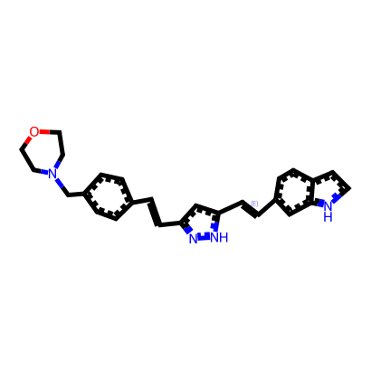 C(=Cc1cc(/C=C/c2ccc3cc[nH]c3c2)[nH]n1)c1ccc(CN2CCOCC2)cc1